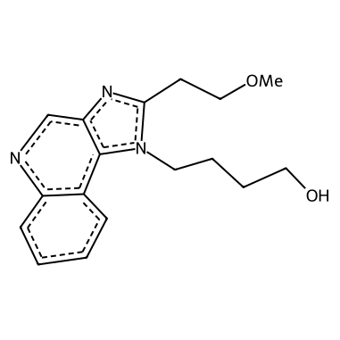 COCCc1nc2cnc3ccccc3c2n1CCCCO